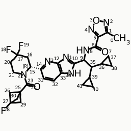 Cc1nonc1C(=O)NC(c1nc2nc([C@H]3CC(F)(F)CCN3C(=O)C34CC(F)(C3)C4)ccc2[nH]1)C(C1CC1)C1CC1